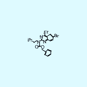 CCc1nc(N(CCC(C)C)C(=O)OCc2ccccc2)nc2ccc(Br)cc12